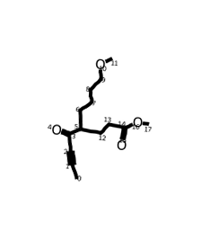 CC#CC(=O)C(CCCCOC)CCC(=O)OC